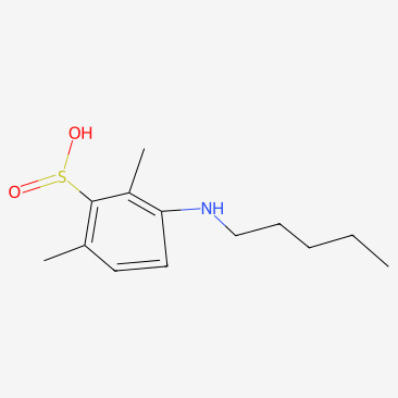 CCCCCNc1ccc(C)c(S(=O)O)c1C